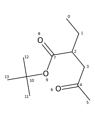 CCC(CC(C)=O)C(=O)OC(C)(C)C